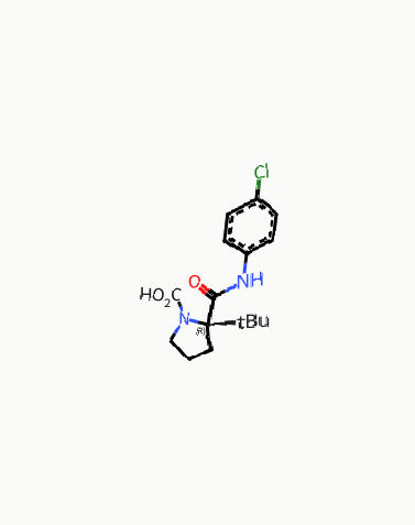 CC(C)(C)[C@@]1(C(=O)Nc2ccc(Cl)cc2)CCCN1C(=O)O